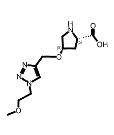 COCCn1cc(CO[C@H]2CN[C@H](C(=O)O)C2)nn1